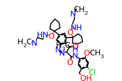 C=NCCNOC1(c2cc(/N=N\C(C(C)=O)C(=O)Nc3cc(CO)c(Cl)cc3OC)cc(C3(ONCCN=C)CCCCC3)c2)CCCCC1